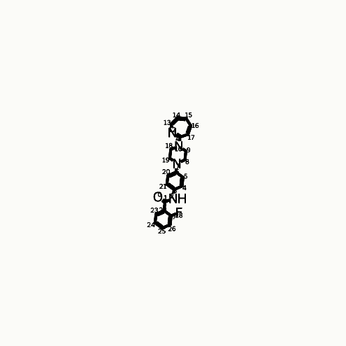 O=C(Nc1ccc(N2CCN(C3=NC=C=CC=C3)CC2)cc1)c1ccccc1F